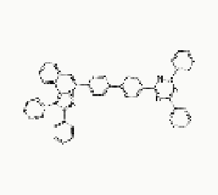 c1ccc(-c2nc(-c3ccccc3)nc(-c3ccc(-c4ccc(-c5cc6ccccc6c6c(-c7ccccc7)c(-c7ccccc7)nn56)cc4)cc3)n2)cc1